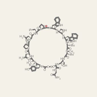 CCCC[C@H]1C(=O)N(C)[C@@H](CCCC)C(=O)N[C@@H](CO)C(=O)NC(C(=O)NCC(N)=O)CSCC(=O)N[C@@H](Cc2ccc(O)cc2)C(=O)N(C)[C@@H](C)C(=O)N[C@@H](CC(N)=O)C(=O)N2CCC[C@H]2C(=O)N[C@@H](CC(N)=O)C(=O)N[C@@H](CC(C)C)C(=O)N2CCC[C@H]2C(=O)N[C@@H](Cc2c[nH]c3ccccc23)C(=O)N[C@@H](CO)C(=O)N[C@@H](Cc2c[nH]c3ccccc23)C(=O)N1C